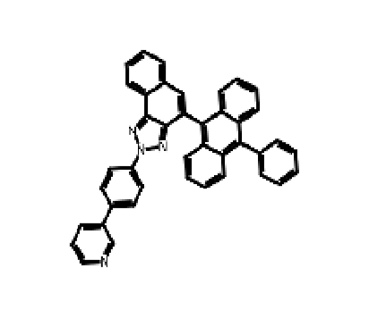 c1ccc(-c2c3ccccc3c(-c3cc4ccccc4c4nn(-c5ccc(-c6cccnc6)cc5)nc34)c3ccccc23)cc1